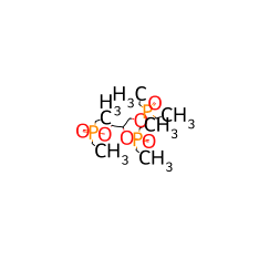 CCP(=O)(CC)OCC(COP(=O)(CC)CC)OP(=O)(CC)CC